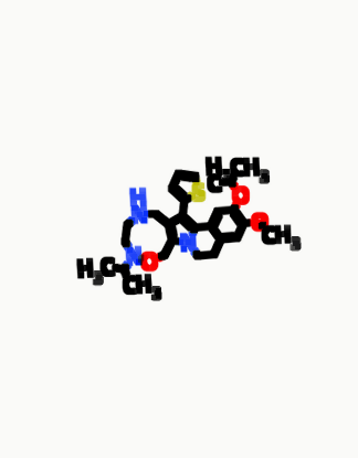 COc1cc2c(cc1OC(C)C)-c1c(-c3cccs3)c3c(n1CC2)CON(C(C)C)CCNC3